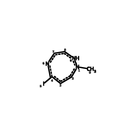 Cn1ccc(I)ncc[nH]1